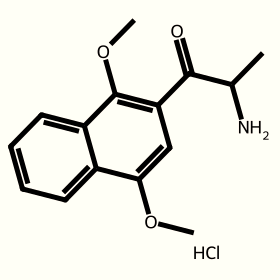 COc1cc(C(=O)C(C)N)c(OC)c2ccccc12.Cl